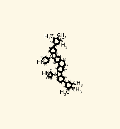 Cc1cc(-c2ccc3c(c2)c2cc4c(cc2n3C2=CCNC=C2)-c2cc3c(cc2CC4)c2cc(-c4cc(C)c(C)c(C)c4)ccc2n3-c2cc[nH]c2)cc(C)c1C